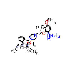 C=C/C=C(C)/C(=C(C)/C=C\C)c1ccccc1C(=O)N1CCN(CCCOc2c(NN)ccc(OC)c2C)CC1